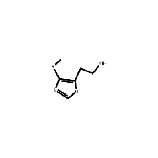 CSc1ncoc1CCO